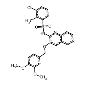 COc1ccc(COc2cc3cnccc3nc2NS(=O)(=O)c2cccc(Cl)c2C)cc1OC